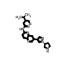 CC(C)c1cnnc(Nc2ccc3ncc(-c4cnn([C@@H]5CCNC5)c4)cc3n2)c1